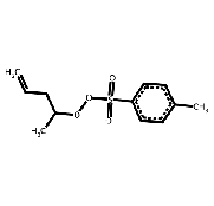 C=CCC(C)OOS(=O)(=O)c1ccc(C)cc1